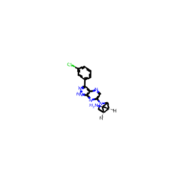 N[C@@]12C3[C@H]1[C@H]2CN3c1cnc2c(-c3cccc(Cl)c3)n[nH]c2n1